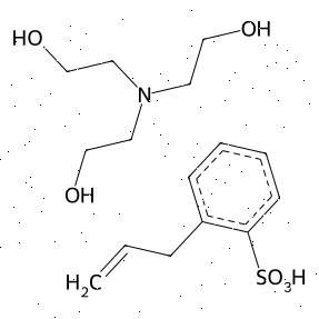 C=CCc1ccccc1S(=O)(=O)O.OCCN(CCO)CCO